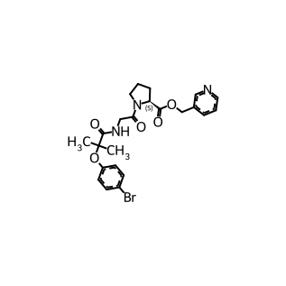 CC(C)(Oc1ccc(Br)cc1)C(=O)NCC(=O)N1CCC[C@H]1C(=O)OCc1cccnc1